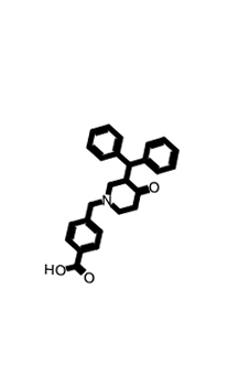 O=C(O)c1ccc(CN2CCC(=O)C(C(c3ccccc3)c3ccccc3)C2)cc1